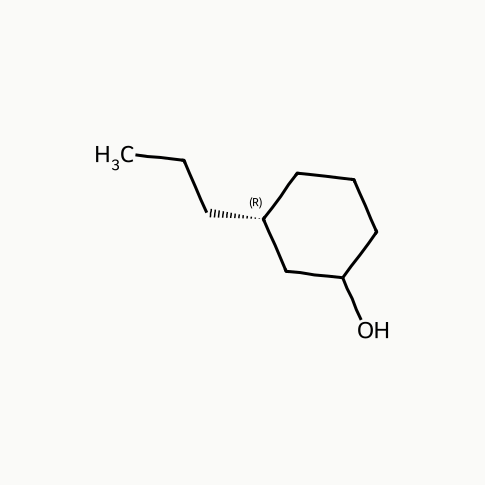 CCC[C@@H]1CCCC(O)C1